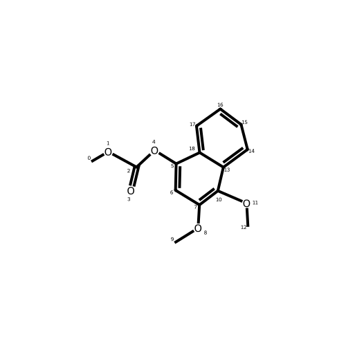 COC(=O)Oc1cc(OC)c(OC)c2ccccc12